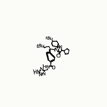 CC(C)(C)CC[C@H](c1ccc(C(=O)NCc2nn[nH]n2)cc1)N1C(=O)C(C2CCCC2)=NC12CCC(C(C)(C)C)CC2